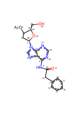 CC(=O)OC1C[C@H](n2cnc3c(NC(=O)Cc4ccccc4)ncnc32)O[C@@H]1CO